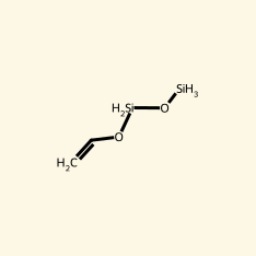 C=CO[SiH2]O[SiH3]